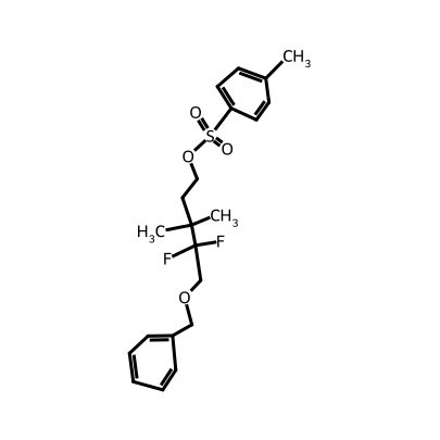 Cc1ccc(S(=O)(=O)OCCC(C)(C)C(F)(F)COCc2ccccc2)cc1